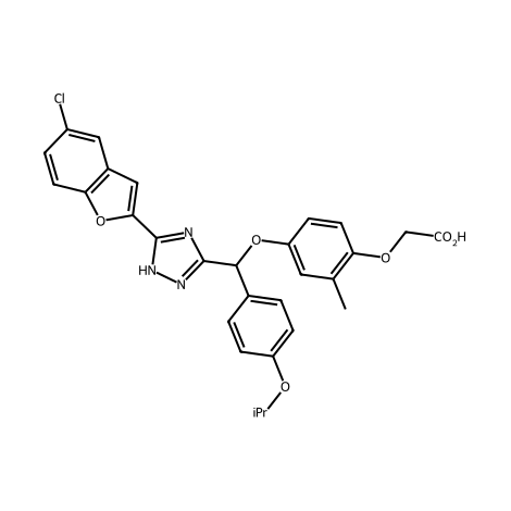 Cc1cc(OC(c2ccc(OC(C)C)cc2)c2n[nH]c(-c3cc4cc(Cl)ccc4o3)n2)ccc1OCC(=O)O